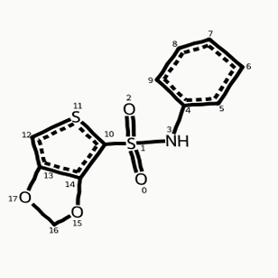 O=S(=O)(Nc1ccccc1)c1scc2c1OCO2